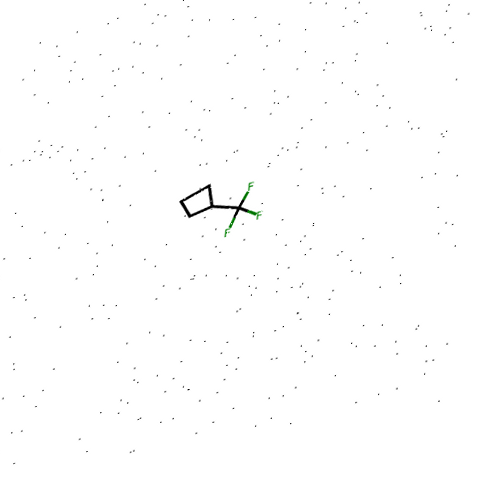 FC(F)(F)[C]1CCC1